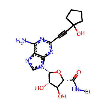 CCNC(=O)[C@H]1O[C@@H](n2cnc3c(N)nc(C#CC4(O)CCCC4)nc32)[C@@H](O)C1O